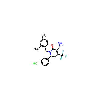 Cc1ccc(Cn2c(-c3ccccc3)cc(C(F)(F)F)c(CN)c2=O)c(C)c1.Cl